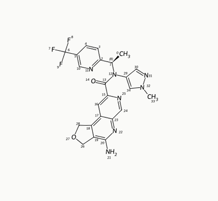 C[C@H](c1ccc(C(F)(F)F)cn1)N(C(=O)c1cc2c3c(c(N)nc2cn1)COC3)c1cnn(C)c1